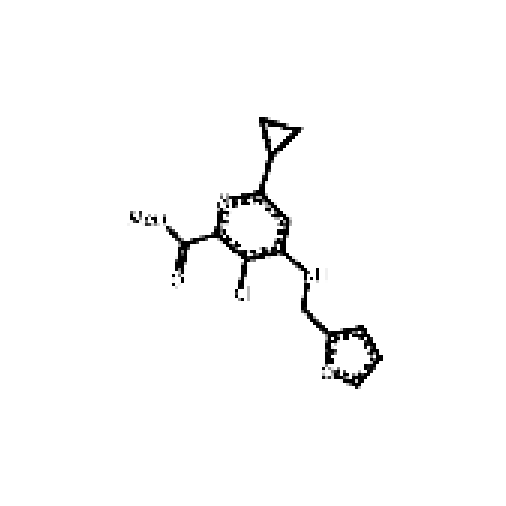 COC(=O)c1nc(C2CC2)cc(NCc2ccco2)c1Cl